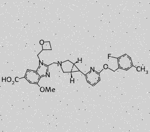 COc1cc(C(=O)O)cc2c1nc(CN1C[C@@H]3C(c4cccc(OCc5cc(C)ccc5F)n4)[C@@H]3C1)n2CC1CCO1